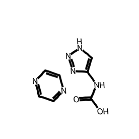 O=C(O)Nc1c[nH]nn1.c1cnccn1